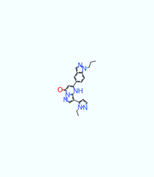 CCCn1ncc2cc(-c3cc(=O)n4ncc(-c5ccnn5CC)c4[nH]3)ccc21